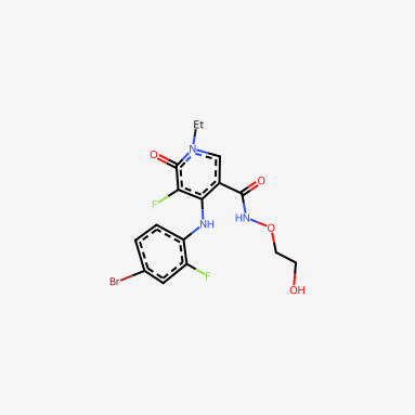 CCn1cc(C(=O)NOCCO)c(Nc2ccc(Br)cc2F)c(F)c1=O